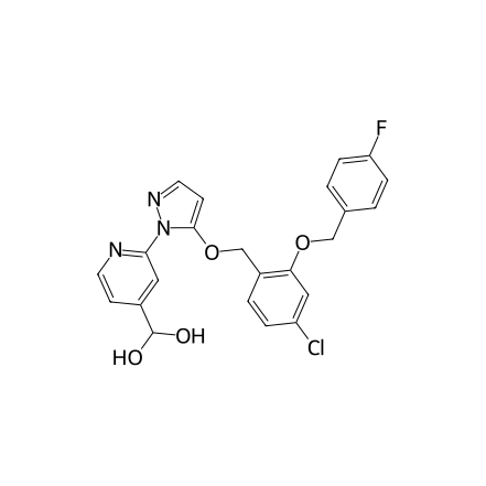 OC(O)c1ccnc(-n2nccc2OCc2ccc(Cl)cc2OCc2ccc(F)cc2)c1